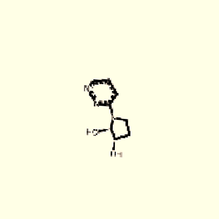 O[C@@H]1CCN(c2cc[c]nn2)[C@@H]1O